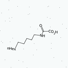 CCCCCCCCCCCNC(=O)C(=O)O